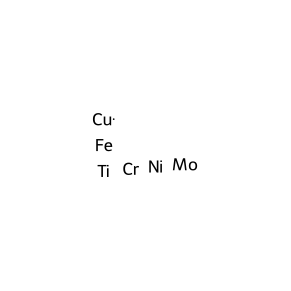 [Cr].[Cu].[Fe].[Mo].[Ni].[Ti]